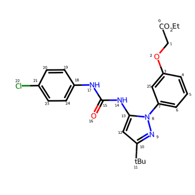 CCOC(=O)COc1cccc(-n2nc(C(C)(C)C)cc2NC(=O)Nc2ccc(Cl)cc2)c1